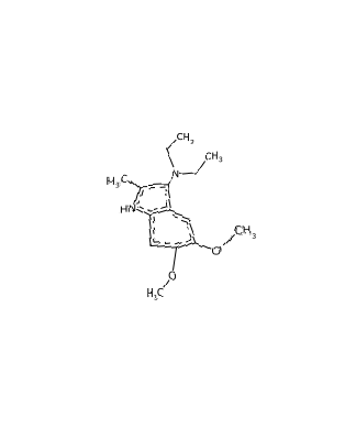 CCN(CC)c1c(C)[nH]c2cc(OC)c(OC)cc12